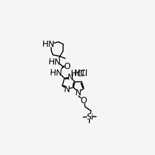 CC1(NC(=O)Nc2cnc3c(ccn3COCC[Si](C)(C)C)n2)CCCNCC1.Cl.Cl